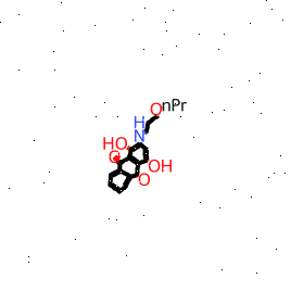 CCCOCCCNc1cc(O)c2c(c1O)C(=O)c1ccccc1C2=O